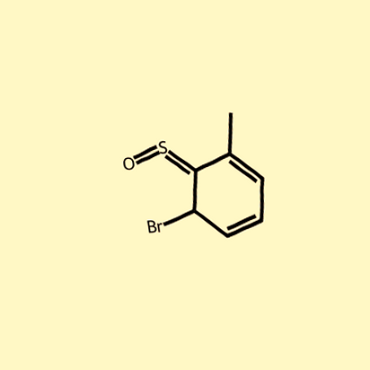 CC1=CC=CC(Br)C1=S=O